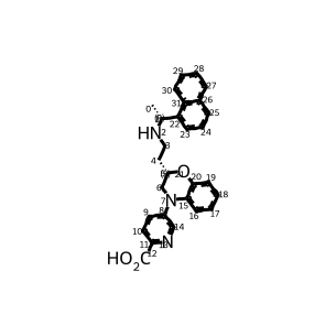 C[C@@H](NCC[C@H]1CN(c2ccc(C(=O)O)nc2)c2ccccc2O1)c1cccc2ccccc12